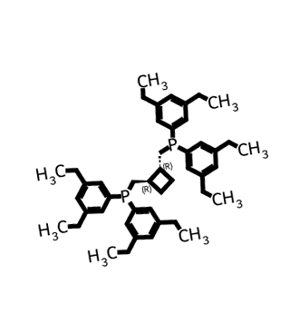 CCc1cc(CC)cc(P(C[C@@H]2CC[C@H]2CP(c2cc(CC)cc(CC)c2)c2cc(CC)cc(CC)c2)c2cc(CC)cc(CC)c2)c1